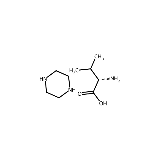 C1CNCCN1.CC(C)[C@H](N)C(=O)O